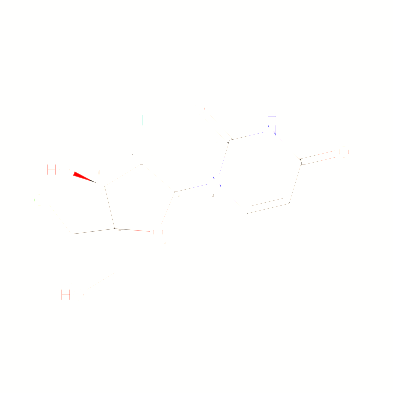 O=c1ccn(C2O[C@@](CO)(CCl)[C@@H](O)[C@@H]2F)c(=O)[nH]1